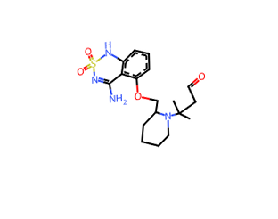 CC(C)(CC=O)N1CCCCC1COc1cccc2c1C(N)=NS(=O)(=O)N2